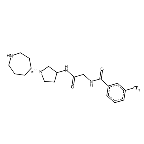 O=C(CNC(=O)c1cccc(C(F)(F)F)c1)NC1CCN([C@@H]2CCCNCC2)C1